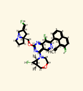 C#Cc1c(F)ccc2cccc(-c3ncc4c(N5CCOC[C@H]6[C@H](F)[C@H]65)nc(OC[C@@]56CCCN5C/C(=C\F)C6)nc4c3F)c12